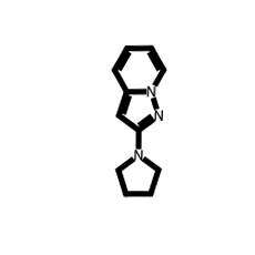 c1ccn2nc(N3CCCC3)cc2c1